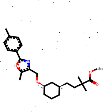 Cc1ccc(-c2nc(CO[C@@H]3CCC[C@H](CCC(C)(C)C(=O)OC(C)(C)C)C3)c(C)o2)cc1